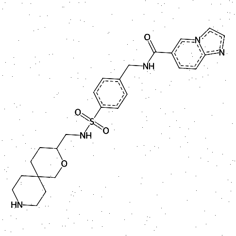 O=C(NCc1ccc(S(=O)(=O)NCC2CCC3(CCNCC3)CO2)cc1)c1ccc2nccn2c1